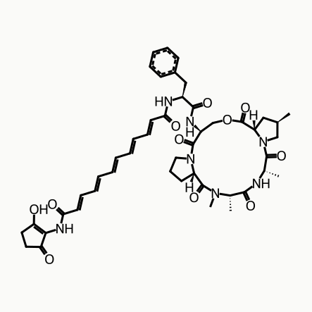 C[C@@H]1C[C@H]2C(=O)OC[C@H](NC(=O)[C@H](Cc3ccccc3)NC(=O)/C=C/C=C/C=C/C=C/C=C/C(=O)NC3=C(O)CCC3=O)C(=O)N3CCC[C@H]3C(=O)N(C)[C@@H](C)C(=O)N[C@@H](C)C(=O)N2C1